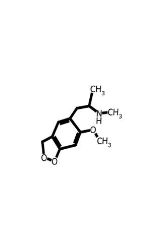 CNC(C)Cc1cc2c(cc1OC)OOC2